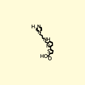 C=CN(/C=C\N)CCCNCc1cccc(-c2ccc(C(=O)O)s2)n1